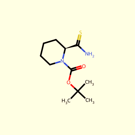 CC(C)(C)OC(=O)N1CCCC[C@H]1C(N)=S